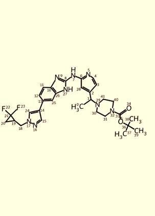 CC(c1ccnc(Nc2nc3ccc(-c4cnn(CC5CC5(F)F)c4)cc3[nH]2)c1)N1CCN(C(=O)OC(C)(C)C)CC1